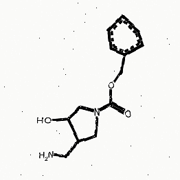 NCC1CN(C(=O)OCc2ccccc2)CC1O